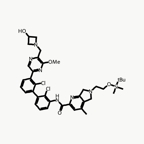 COc1nc(-c2cccc(-c3cccc(NC(=O)c4cc(C)c5c(n4)CN(CCO[Si](C)(C)C(C)(C)C)C5)c3Cl)c2Cl)cnc1CN1CC(O)C1